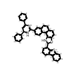 C1=C(c2ccccc2)N=C(c2ccc3c(ccc4ccc5c(c43)NC(c3cccc4c3sc3ccccc34)O5)c2)NC1c1ccccc1